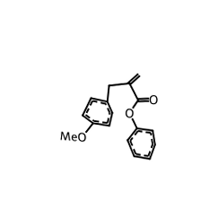 C=C(Cc1ccc(OC)cc1)C(=O)Oc1ccccc1